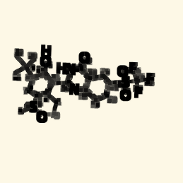 CCc1c([S+](C)[O-])cc(C(C)(C)C)c(O)c1-c1nc2ccc(S(=O)(=O)C(F)(F)F)cc2c(=O)[nH]1